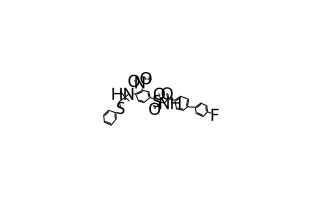 CC(C)(CSc1ccccc1)Nc1ccc(S(=O)(=O)NC(=O)c2ccc(-c3ccc(F)cc3)cc2)cc1[N+](=O)[O-]